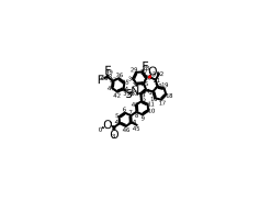 COC(=O)c1ccc(-c2cccc(-c3c(-c4ccccc4C4COC4)c4cc(F)ccc4n3Sc3ccc(C(F)F)cc3)c2)c(C)c1